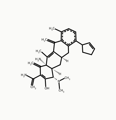 C=C(N)C1=C(O)[C@@H](N(C)C)[C@@H]2C[C@@H]3Cc4c(C5C=CCC5)ccc(C)c4C(=C)C3=C(C)[C@]2(N)C1=C